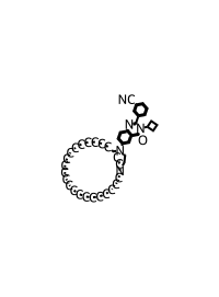 N#Cc1cccc(-c2nc3ccc(N4CCN5CCCCCCCCCCCCCCCCCCCCCC4CC5)cc3c(=O)n2C2CCC2)c1